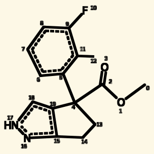 COC(=O)C1(c2cccc(F)c2C)CCc2n[nH]cc21